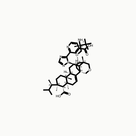 CC(C)[C@@H](C)[C@@]1(C)CC[C@]2(C)[C@H]3CC[C@@H]4[C@@]5(COC[C@@]4(C)[C@@H](OC[C@](C)(N)C(C)(C)C)[C@H](n4ncnc4-c4cc(C(=O)O)ccn4)C5)C3=CC[C@@]2(C)[C@@H]1C(=O)O